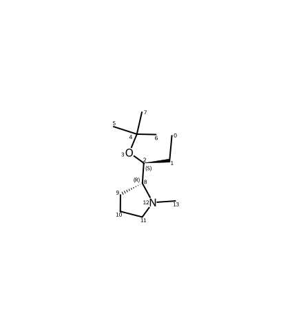 CC[C@H](OC(C)(C)C)[C@H]1CCCN1C